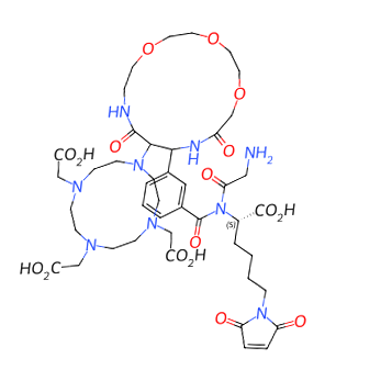 NCC(=O)N(C(=O)c1cccc(C2NC(=O)COCCOCCOCCNC(=O)C2N2CCN(CC(=O)O)CCN(CC(=O)O)CCN(CC(=O)O)CC2)c1)[C@@H](CCCCN1C(=O)C=CC1=O)C(=O)O